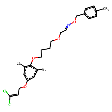 CCc1cc(OCC=C(Cl)Cl)cc(CC)c1OCCCCOCC=NOCc1ccc(C(F)(F)F)cc1